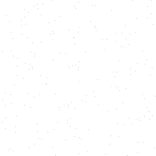 CN(CC/C=C1/c2ccccc2COc2ccccc21)CCCCCC(=O)c1ccc(C(C)(C)C)cc1.Cl